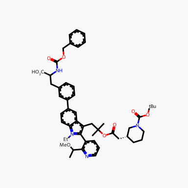 CCn1c(-c2cccnc2C(C)OC)c(CC(C)(C)OC(=O)C[C@H]2CCCN(C(=O)OC(C)(C)C)C2)c2cc(-c3cccc(CC(NC(=O)OCc4ccccc4)C(=O)O)c3)ccc21